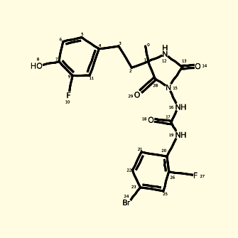 CC1(CCc2ccc(O)c(F)c2)NC(=O)N(NC(=O)Nc2ccc(Br)cc2F)C1=O